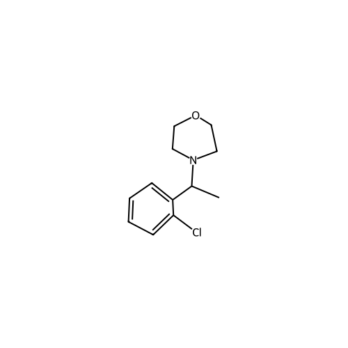 CC(c1ccccc1Cl)N1CCOCC1